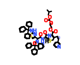 CC(C)COC(=O)OCCOC(=O)C1=C(/C=C\c2cccnc2)CS[C@H]2[C@H](NC(=O)C(=NOC(c3ccccc3)(c3ccccc3)c3ccccc3)c3csc(NC(c4ccccc4)(c4ccccc4)c4ccccc4)n3)C(=O)N12